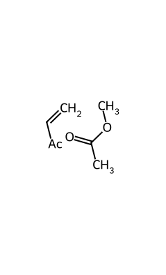 C=CC(C)=O.COC(C)=O